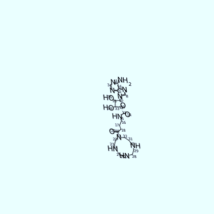 Nc1ncnc2c1ncn2[C@@H]1O[C@H](C(=O)NCCCC(=O)N2CCNCCNCCNCC2)[C@@H](O)[C@H]1O